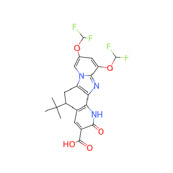 CC(C)(C)C1Cc2c(nc3c(OC(F)F)cc(OC(F)F)cn23)-c2[nH]c(=O)c(C(=O)O)cc21